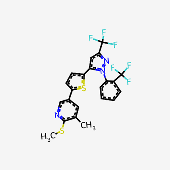 CSc1ncc(-c2ccc(-c3cc(C(F)(F)F)nn3-c3ccccc3C(F)(F)F)s2)cc1C